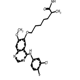 COc1cc2ncnc(Nc3ccc(F)c(Cl)c3)c2cc1OCCCCCC(C)C(=O)NO